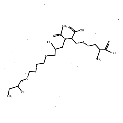 CCC(O)COCCCCOCC(O)CN(C(C)=O)C(CSSCC(N)C(=O)O)C(=O)O